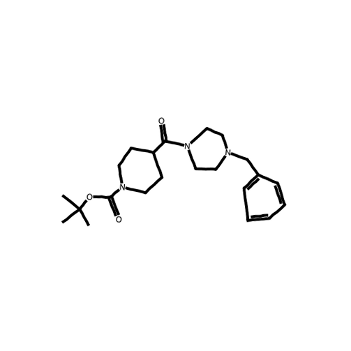 CC(C)(C)OC(=O)N1CCC(C(=O)N2CCN(Cc3ccccc3)CC2)CC1